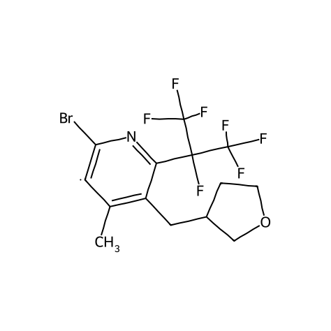 Cc1[c]c(Br)nc(C(F)(C(F)(F)F)C(F)(F)F)c1CC1CCOC1